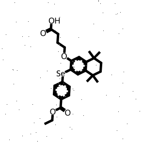 CCOC(=O)c1ccc([Se]c2cc3c(cc2OCCCC(=O)O)C(C)(C)CCC3(C)C)cc1